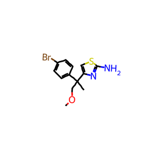 COCC(C)(c1ccc(Br)cc1)c1csc(N)n1